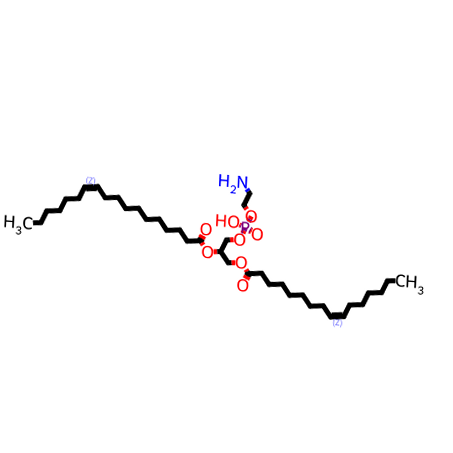 CCCCCC/C=C\CCCCCCCCCC(=O)OC(COC(=O)CCCCCCC/C=C\CCCCCC)COP(=O)(O)OCCN